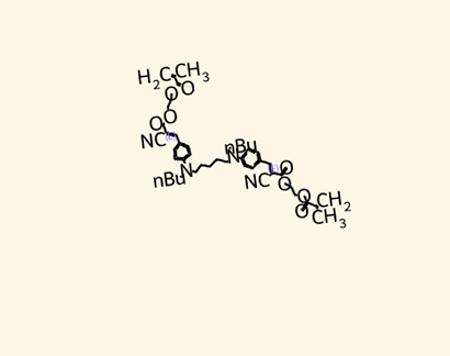 C=C(C)C(=O)OCCOC(=O)/C(C#N)=C/c1ccc(N(CCCC)CCCCCN(CCCC)c2ccc(/C=C(\C#N)C(=O)OCCOC(=O)C(=C)C)cc2)cc1